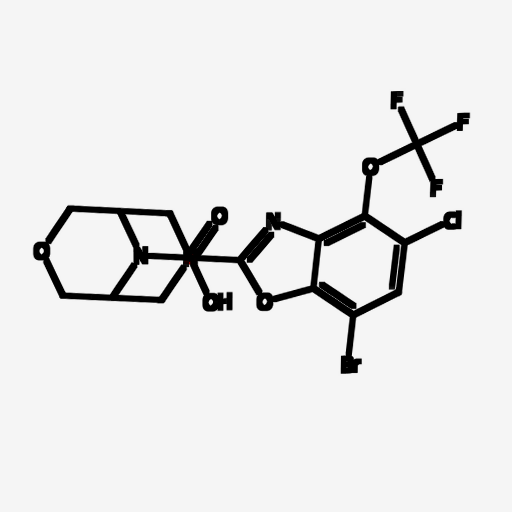 O=C(O)N1C2COCC1CN(c1nc3c(OC(F)(F)F)c(Cl)cc(Br)c3o1)C2